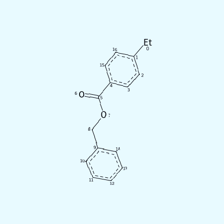 CCc1ccc(C(=O)OCc2ccccc2)cc1